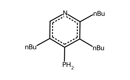 CCCCc1cnc(CCCC)c(CCCC)c1P